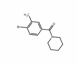 Cc1cc(C(=O)N2CCCCC2)ccc1Br